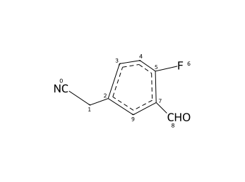 N#CCc1ccc(F)c(C=O)c1